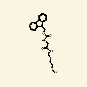 CC(C)OCCOCNC(=O)CNC(=O)OCC1c2ccccc2-c2ccccc21